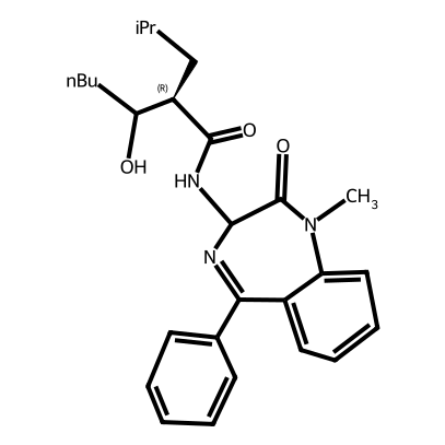 CCCCC(O)[C@@H](CC(C)C)C(=O)NC1N=C(c2ccccc2)c2ccccc2N(C)C1=O